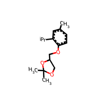 Cc1ccc(OCC2COC(C)(C)O2)c(C(C)C)c1